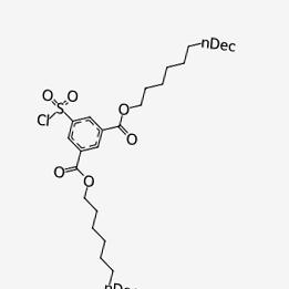 CCCCCCCCCCCCCCCCOC(=O)c1cc(C(=O)OCCCCCCCCCCCCCCCC)cc(S(=O)(=O)Cl)c1